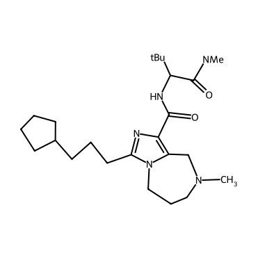 CNC(=O)C(NC(=O)c1nc(CCCC2CCCC2)n2c1CN(C)CCC2)C(C)(C)C